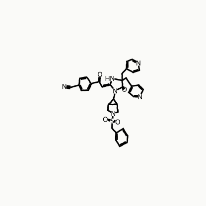 N#Cc1ccc(C(=O)C=C2NC(Cc3ccncc3)(Cc3ccncc3)C(=O)N2C2C3CN(S(=O)(=O)Cc4ccccc4)CC32)cc1